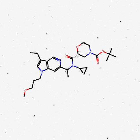 CCc1cn(CCCOC)c2cc([C@H](C)N(C(=O)[C@H]3CN(C(=O)OC(C)(C)C)CCO3)C3CC3)ncc12